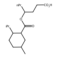 CCCC(CCC(=O)O)OC(=O)C1CC(C)CCC1C(C)C